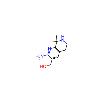 CC1(C)NCCc2cc(CO)c(N)nc21